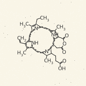 C=Cc1c(C)c2cc3nc(c4c5[nH]c(cc6nc(cc1[nH]2)C(C)=C6CC)c(C)c5C(=O)OC(=O)C4)C(CCC(=O)O)C3C